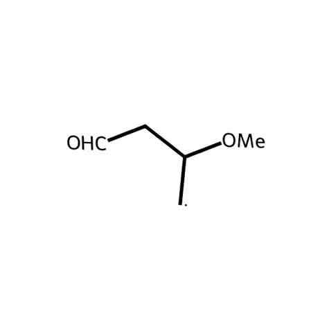 [CH2]C(CC=O)OC